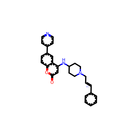 O=c1cc(NC2CCN(C/C=C/c3ccccc3)CC2)c2cc(-c3ccncc3)ccc2o1